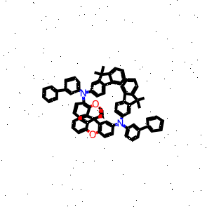 CC1(C)c2ccccc2-c2ccc(N(c3cccc(-c4ccccc4)c3)c3ccc4c(c3)C3(c5ccccc5O4)c4ccccc4Oc4c(N(c5cccc(-c6ccccc6)c5)c5ccc6c(c5)C(C)(C)c5ccccc5-6)cccc43)cc21